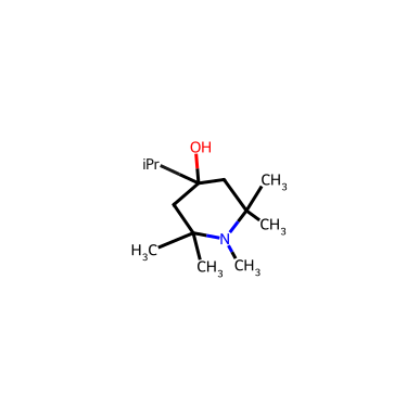 CC(C)C1(O)CC(C)(C)N(C)C(C)(C)C1